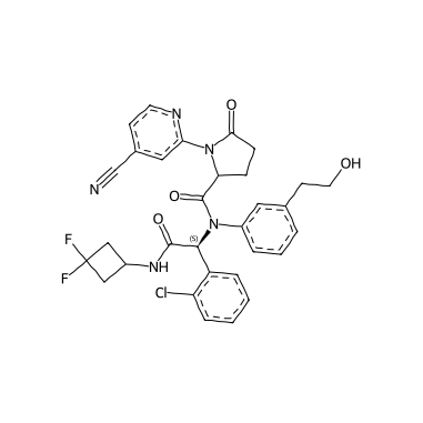 N#Cc1ccnc(N2C(=O)CCC2C(=O)N(c2cccc(CCO)c2)[C@H](C(=O)NC2CC(F)(F)C2)c2ccccc2Cl)c1